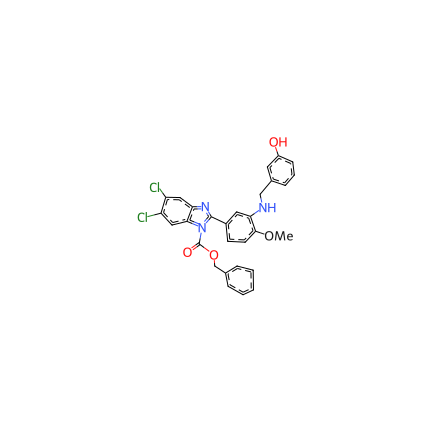 COc1ccc(-c2nc3cc(Cl)c(Cl)cc3n2C(=O)OCc2ccccc2)cc1NCc1cccc(O)c1